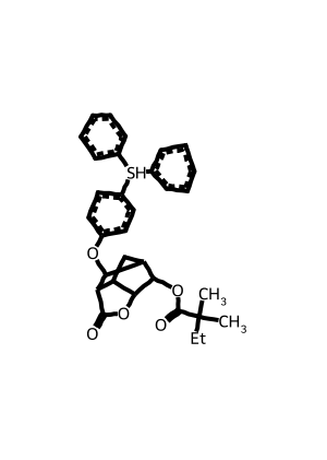 CCC(C)(C)C(=O)OC1C2CC3C1OC(=O)C3C2Oc1ccc([SH](c2ccccc2)c2ccccc2)cc1